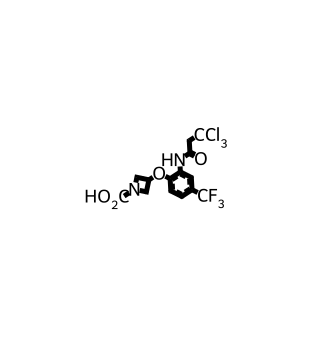 O=C(CC(Cl)(Cl)Cl)Nc1cc(C(F)(F)F)ccc1OC1CN(C(=O)O)C1